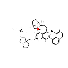 C#Cc1c(F)ccc2cccc(-c3nc4c5c(nc(OCC67CCCN6C[C@@H](OC(C(F)(F)F)(C(F)(F)F)C(F)(F)F)C7)nc5c3F)N3C[C@H]5CC[C@@H]([C@H]3CC4)N5C(=O)OC(C)(C)C)c12